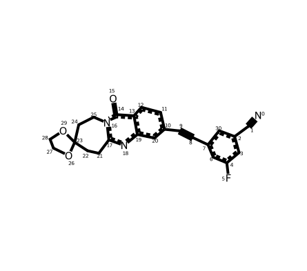 N#Cc1cc(F)cc(C#Cc2ccc3c(=O)n4c(nc3c2)CCC2(CC4)OCCO2)c1